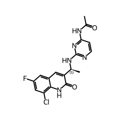 CC(=O)Nc1ccnc(N[C@@H](C)c2cc3cc(F)cc(Cl)c3[nH]c2=O)n1